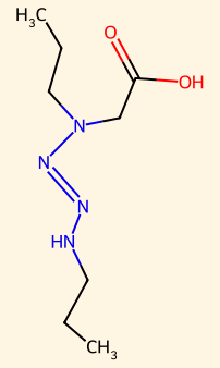 CCCNN=NN(CCC)CC(=O)O